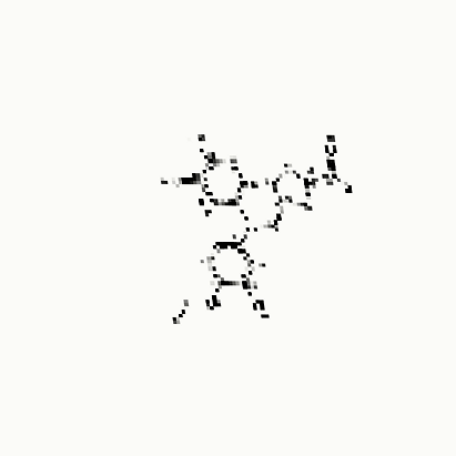 CCOc1ccc(C(=C[C@H]2CCN(C(C)=O)C2)c2ccc(Cl)c(=O)[nH]2)cc1Cl